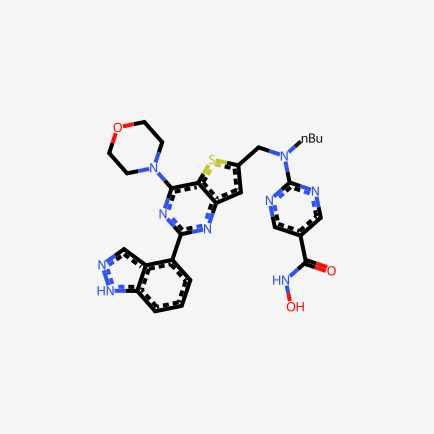 CCCCN(Cc1cc2nc(-c3cccc4[nH]ncc34)nc(N3CCOCC3)c2s1)c1ncc(C(=O)NO)cn1